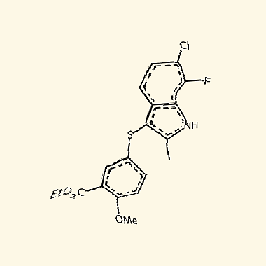 CCOC(=O)c1cc(Sc2c(C)[nH]c3c(F)c(Cl)ccc23)ccc1OC